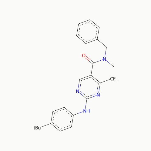 CN(Cc1ccccc1)C(=O)c1cnc(Nc2ccc(C(C)(C)C)cc2)nc1C(F)(F)F